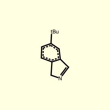 CC(C)(C)c1ccc2c(c1)C=NC2